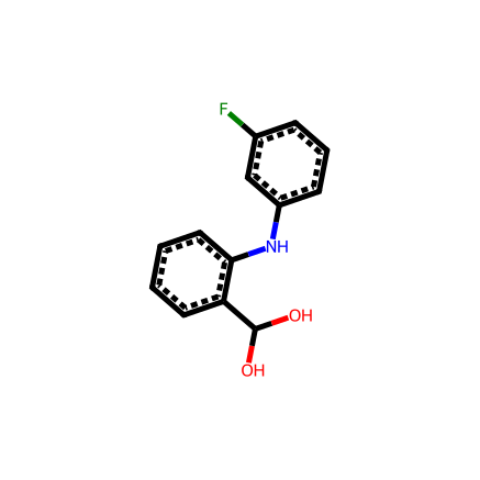 OC(O)c1ccccc1Nc1cccc(F)c1